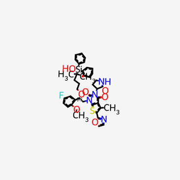 COc1ccc(F)cc1[C@H](Cn1c(=O)n(C2CCNC2=O)c(=O)c2c(C)c(-c3ncco3)sc21)OCCCC(C)(C)[Si](O)(c1ccccc1)c1ccccc1